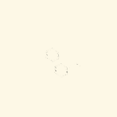 C.C.Cl.Cl.O.c1ccncc1.c1ccncc1